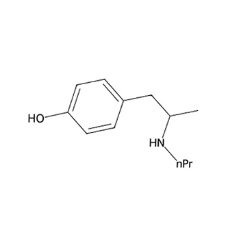 CCCNC(C)Cc1ccc(O)cc1